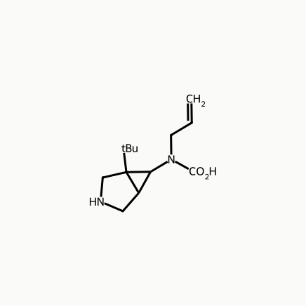 C=CCN(C(=O)O)C1C2CNCC21C(C)(C)C